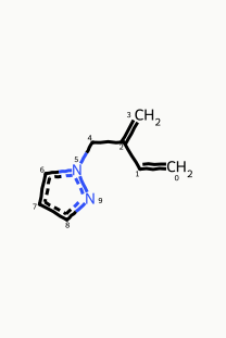 C=CC(=C)Cn1cccn1